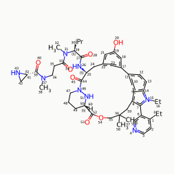 CCc1ccncc1-c1c2c3cc(ccc3n1CC)-c1cc(O)cc(c1)C[C@H](NC(=O)[C@H](C(C)C)N(C)C(=O)CCN(C)C(=O)[C@@H]1CN1)C(=O)N1CCC[C@H](N1)C(=O)OCC(C)(C)C2